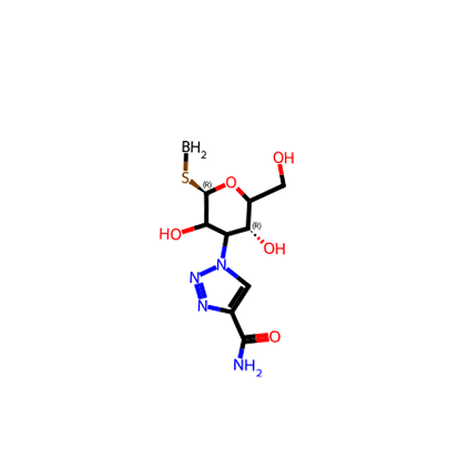 BS[C@H]1OC(CO)[C@H](O)C(n2cc(C(N)=O)nn2)C1O